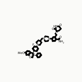 COc1ccc2c(c1)OC[C@H](c1ccccc1)[C@@H]2c1ccc(N2CCC(CN3CCN(c4ccc(C(N)=O)c(CC[C@H]5CCC(=O)NC5=O)c4)CC3)CC2)c(F)c1